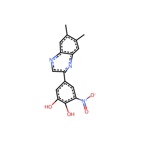 Cc1cc2ncc(-c3cc(O)c(O)c([N+](=O)[O-])c3)nc2cc1C